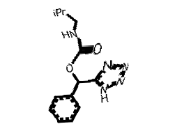 CC(C)CNC(=O)OC(c1ccccc1)c1nnn[nH]1